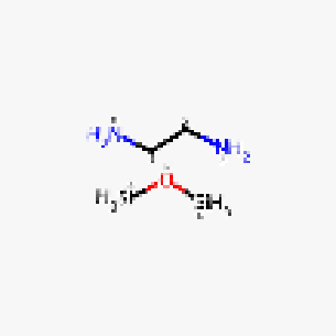 NCCN.[SiH3]O[SiH3]